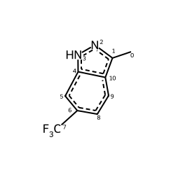 Cc1n[nH]c2cc(C(F)(F)F)ccc12